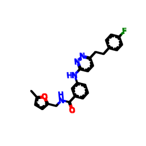 Cc1ccc(CNC(=O)c2cccc(Nc3ccc(CCc4ccc(F)cc4)nn3)c2)o1